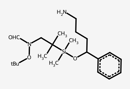 CC(C)(C)ON(C=O)CC(C)(C)[Si](C)(C)OC(CCCN)c1ccccc1